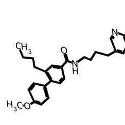 CCCCc1cc(C(=O)NCCCCc2cccnc2)ccc1-c1ccc(OC)cc1